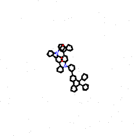 c1ccc(-c2c(-c3ccccc3)c3cc(-c4cccc(N(c5ccc(-c6cccc7ccccc67)cc5)c5ccccc5-c5ccc6c(c5)c5ccccc5n6-c5ccccc5)c4)ccc3c3ccccc23)cc1